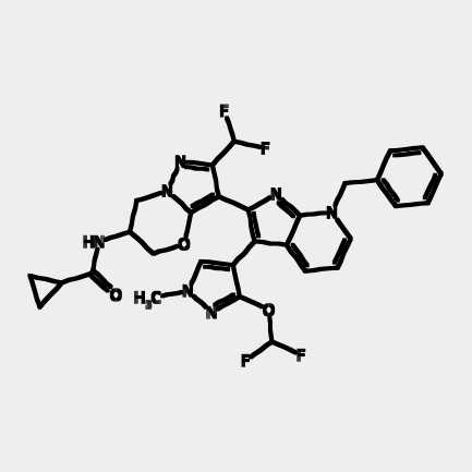 Cn1cc(-c2c3cccn(Cc4ccccc4)c-3nc2-c2c(C(F)F)nn3c2OCC(NC(=O)C2CC2)C3)c(OC(F)F)n1